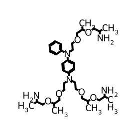 CC(N)COC(C)COCCN(CCOCC(C)OCC(C)N)c1ccc(N(CCOCC(C)OCC(C)N)c2ccccc2)cc1